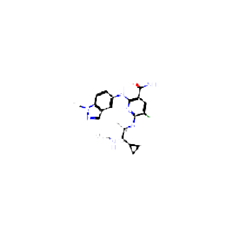 CCn1ncc2cc(Nc3nc(N[C@H](C)[C@@H](NC(=O)O)C4CC4)c(F)cc3C(N)=O)ccc21